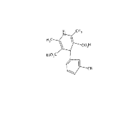 CCOC(=O)C1=C(C)NC(C)=C(C(=O)O)C1c1cccc(C#N)c1